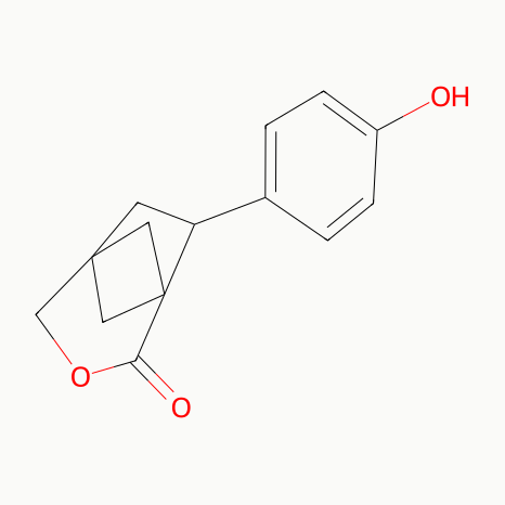 O=C1OCC23CC(c4ccc(O)cc4)C1(C2)C3